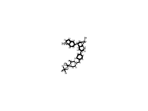 CC1CN(Cc2ccc(-c3cnc4c(c3)c(-c3ccc5[nH]ccc5c3)cn4SI)cc2)CCN1C(=O)OC(C)(C)C